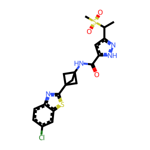 CC(c1cc(C(=O)NC23CC(c4nc5ccc(Cl)cc5s4)(C2)C3)[nH]n1)S(C)(=O)=O